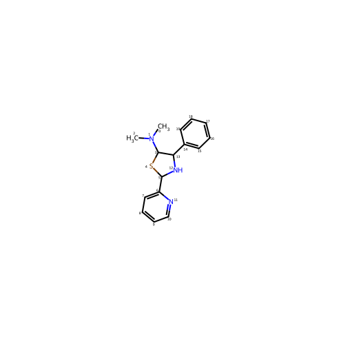 CN(C)C1SC(c2ccccn2)NC1c1ccccc1